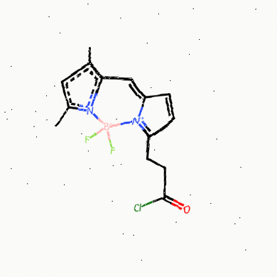 Cc1cc(C)n2c1C=C1C=CC(CCC(=O)Cl)=[N+]1[B-]2(F)F